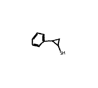 SC1CC1c1ccccc1